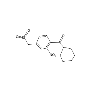 O=C(c1ccc(C[SH](=O)=O)cc1[N+](=O)[O-])C1CCCCC1